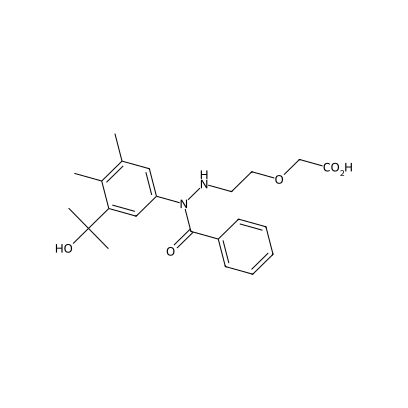 Cc1cc(N(NCCOCC(=O)O)C(=O)c2ccccc2)cc(C(C)(C)O)c1C